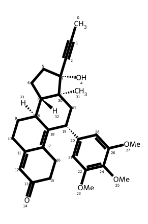 CC#C[C@]1(O)CC[C@H]2[C@@H]3CCC4=CC(=O)CCC4=C3[C@@H](c3cc(OC)c(OC)c(OC)c3)C[C@@]21C